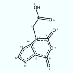 O=C(O)Cn1c(=O)oc(=O)c2sccc21